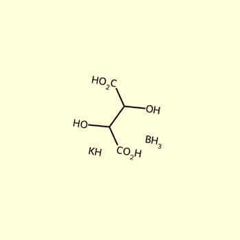 B.O=C(O)C(O)C(O)C(=O)O.[KH]